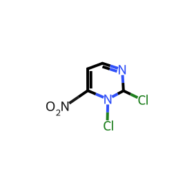 O=[N+]([O-])C1=CC=NC(Cl)N1Cl